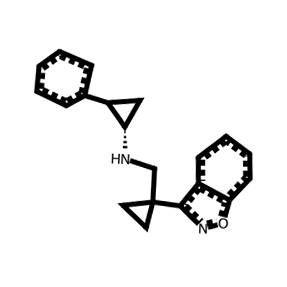 c1ccc(C2C[C@@H]2NCC2(c3noc4ccccc34)CC2)cc1